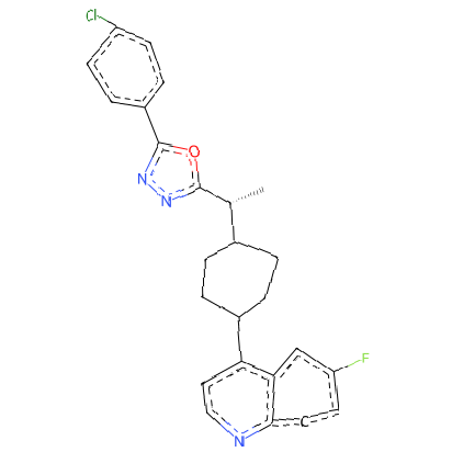 C[C@@H](c1nnc(-c2ccc(Cl)cc2)o1)C1CCC(c2ccnc3ccc(F)cc23)CC1